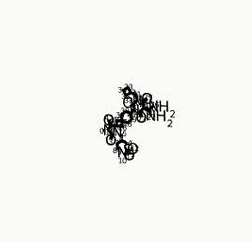 CN1C(=O)N(C[C@@H]2CCN(C)S(=O)(=O)C2)C2(CC3(CCC(N4C(=O)C(=C(N)N)C(=O)N(CC5CCC5)C4=O)CC3)C2)C1=O